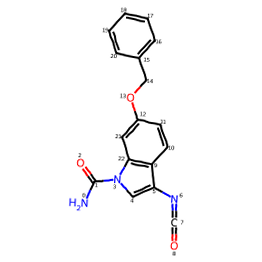 NC(=O)n1cc(N=C=O)c2ccc(OCc3ccccc3)cc21